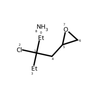 CCC(Cl)(CC)CC1CO1.N